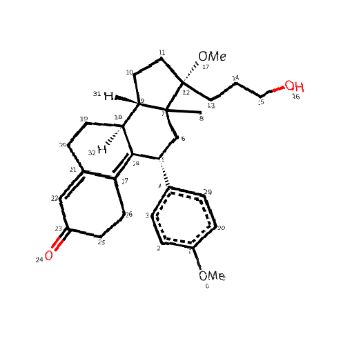 COc1ccc([C@H]2CC3(C)[C@@H](CC[C@]3(CCCO)OC)[C@@H]3CCC4=CC(=O)CCC4=C32)cc1